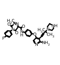 Cn1nc(C(=O)Nc2ccc(Oc3ccnc(N)c3C#CC(C)(C)N3CCNCC3)cc2)c(=O)n(-c2ccc(F)cc2)c1=O